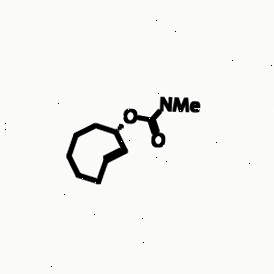 CNC(=O)O[C@@H]1/C=C/CCCCC1